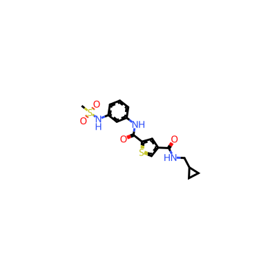 CS(=O)(=O)Nc1cccc(NC(=O)c2cc(C(=O)NCC3CC3)cs2)c1